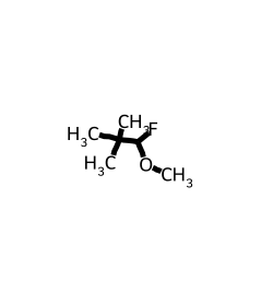 COC(F)C(C)(C)C